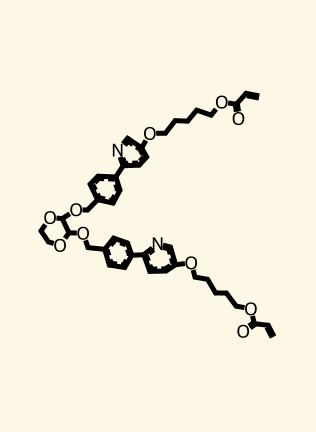 C=CC(=O)OCCCCCOc1ccc(-c2ccc(COC3OCCOC3OCc3ccc(-c4ccc(OCCCCCOC(=O)C=C)cn4)cc3)cc2)nc1